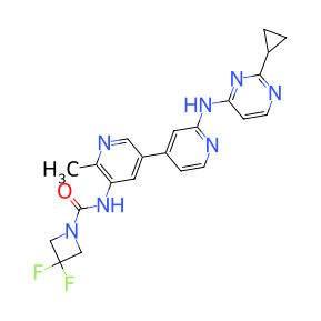 Cc1ncc(-c2ccnc(Nc3ccnc(C4CC4)n3)c2)cc1NC(=O)N1CC(F)(F)C1